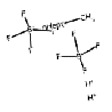 CCCCCCCC.F[B-](F)(F)F.F[B-](F)(F)F.[H+].[H+]